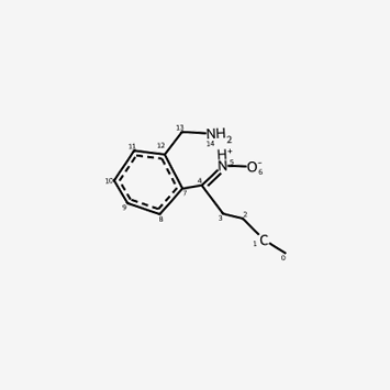 CCCCC(=[NH+][O-])c1ccccc1CN